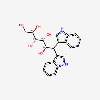 OC[C@@H](O)[C@@H](O)[C@H](O)[C@H](O)C(c1c[nH]c2ccccc12)c1c[nH]c2ccccc12